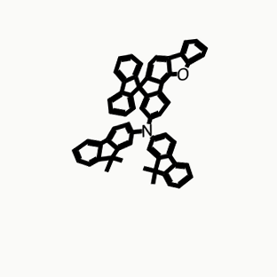 CC1(C)c2ccccc2-c2ccc(N(c3ccc4c(c3)C(C)(C)c3ccccc3-4)c3ccc4c(c3)C3(c5ccccc5-c5ccccc53)c3ccc5c(oc6ccccc65)c3-4)cc21